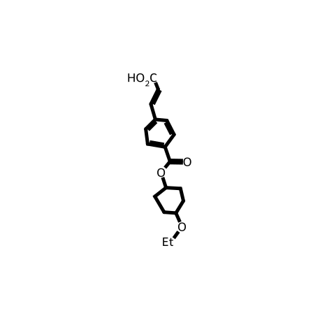 CCOC1CCC(OC(=O)c2ccc(/C=C/C(=O)O)cc2)CC1